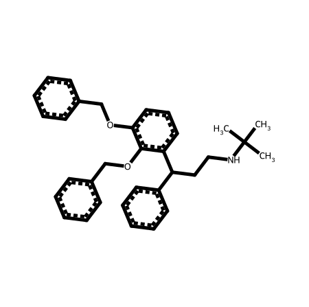 CC(C)(C)NCCC(c1ccccc1)c1cccc(OCc2ccccc2)c1OCc1ccccc1